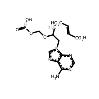 CC(Cn1cnc2c(N)ncnc21)OCO[PH](=O)O.O=C(O)/C=C/C(=O)O